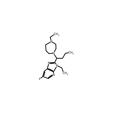 CCCC(c1nc2cc(F)cnc2n1CC)N1CCCN(CC)CC1